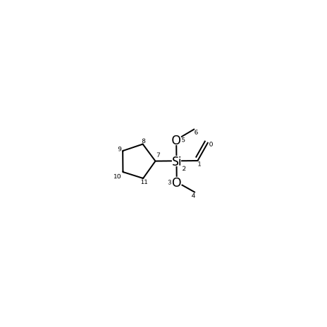 C=C[Si](OC)(OC)C1CCCC1